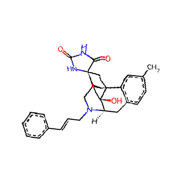 Cc1ccc2c(c1)[C@]13CCN(C/C=C/c4ccccc4)[C@H](C2)[C@]1(O)CC[C@@]1(C3)NC(=O)NC1=O